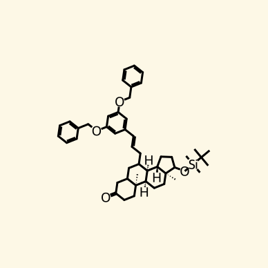 CC(C)(C)[Si](C)(C)OC1CC[C@H]2[C@@H]3C(CC=Cc4cc(OCc5ccccc5)cc(OCc5ccccc5)c4)CC4CC(=O)CC[C@]4(C)[C@@H]3CC[C@]12C